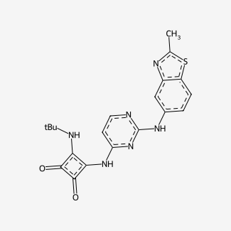 Cc1nc2cc(Nc3nccc(Nc4c(NC(C)(C)C)c(=O)c4=O)n3)ccc2s1